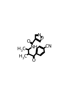 CC(NC(=O)c1cnoc1)C(C)C(=O)c1ccc(C#N)cc1